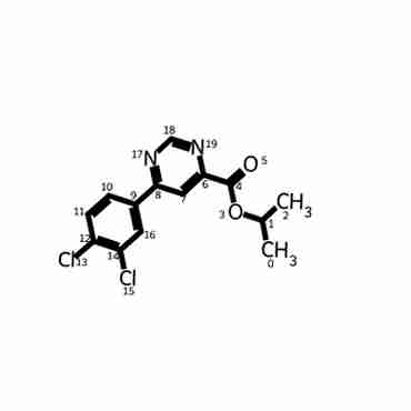 CC(C)OC(=O)c1cc(-c2ccc(Cl)c(Cl)c2)ncn1